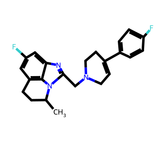 CC1CCc2cc(F)cc3nc(CN4CC=C(c5ccc(F)cc5)CC4)n1c23